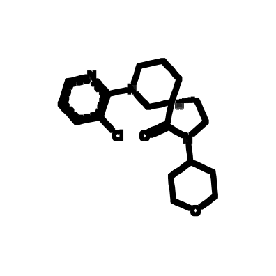 O=C1N(C2CCOCC2)CC[C@]12CCCN(c1ncccc1Cl)C2